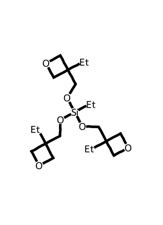 CCC1(CO[Si](CC)(OCC2(CC)COC2)OCC2(CC)COC2)COC1